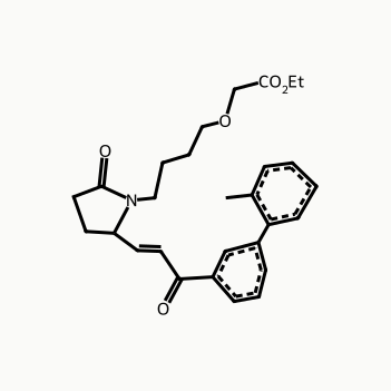 CCOC(=O)COCCCCN1C(=O)CCC1C=CC(=O)c1cccc(-c2ccccc2C)c1